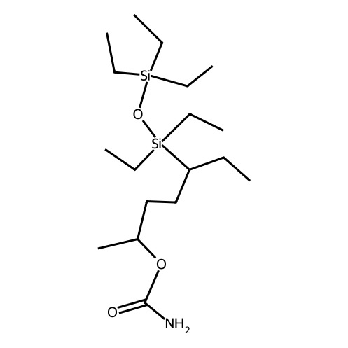 CCC(CCC(C)OC(N)=O)[Si](CC)(CC)O[Si](CC)(CC)CC